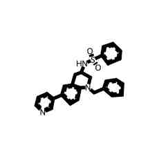 O=S(=O)(NC1Cc2cc(-c3cccnc3)ccc2N(Cc2ccccc2)C1)c1ccccc1